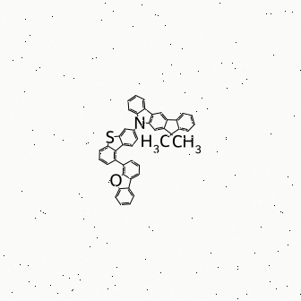 CC1(C)c2ccccc2-c2cc3c4ccccc4n(-c4ccc5c(c4)sc4cccc(-c6cccc7c6oc6ccccc67)c45)c3cc21